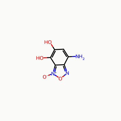 Nc1cc(O)c(O)c2c1no[n+]2[O-]